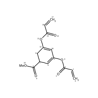 C=CC(=O)OC1=CC(C(=O)OC)CC(OC(=O)C=C)=C1